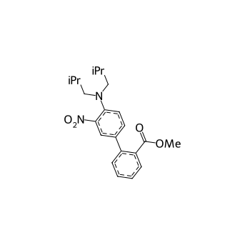 COC(=O)c1ccccc1-c1ccc(N(CC(C)C)CC(C)C)c([N+](=O)[O-])c1